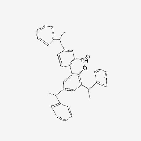 CC(c1ccccc1)c1cc2c(c(C(C)c3ccccc3)c1)O[PH](=O)c1cc(C(C)c3ccccc3)ccc1-2